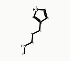 CNCCCc1cc[nH]c1